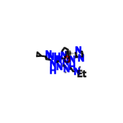 CCN(C)CCN(C)c1nc(Nc2cc(C3CC3)n[nH]2)nc(N2CCC[C@@]2(C)C(=O)Nc2cnccn2)n1